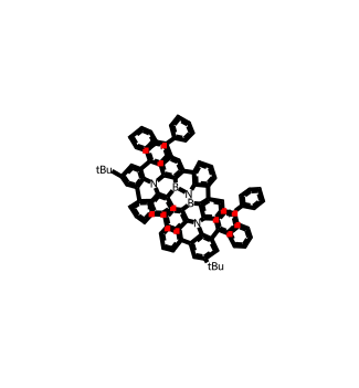 CC(C)(C)c1cc(-c2ccccc2)c(N2c3ccccc3B3c4c(cc(N(c5ccccc5)c5ccccc5)cc42)-c2cccc4c2N3B2c3ccccc3N(c3c(-c5ccccc5)cc(C(C)(C)C)cc3-c3ccccc3)c3cc(N(c5ccccc5)c5ccccc5)cc-4c32)c(-c2ccccc2)c1